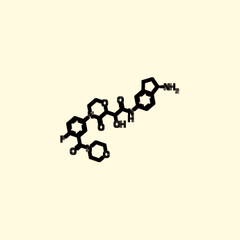 N[C@@H]1CCc2cc(NC(=O)C(O)C3OCCN(c4ccc(F)c(C(=O)N5CCOCC5)c4)C3=O)ccc21